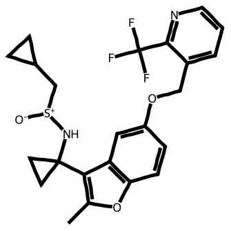 Cc1oc2ccc(OCc3cccnc3C(F)(F)F)cc2c1C1(N[S+]([O-])CC2CC2)CC1